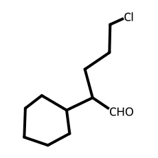 O=CC(CCCCl)C1CCCCC1